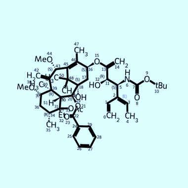 C=C/C(=C\C)[C@H](NC(=O)OC(C)(C)C)[C@@H](O)C(=C)O[C@H]1C[C@@]2(O)[C@@H](OC(=O)c3ccccc3)[C@@H]3[C@@](CC)(OC(C)=O)[C@H](C)C[C@H](OC)[C@@]3(C)C(=C)[C@H](OC)C(=C1C)C2(C)C